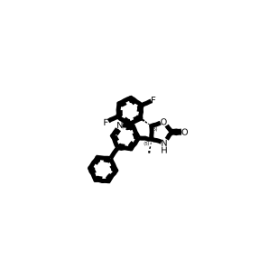 C[C@@]1(c2cncc(-c3ccccc3)c2)NC(=O)O[C@H]1c1cc(F)ccc1F